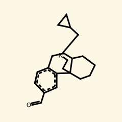 O=Cc1ccc2c(c1)C13CCCCC1C(C2)N(CC1CC1)CC3